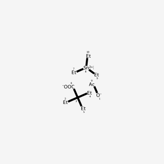 CC(=O)[O-].CCC(CC)(CC)C(=O)[O-].C[CH2][Sn+2]([CH2]C)[CH2]C